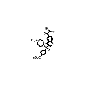 CCCCOc1ccc(S(=O)(=O)c2cnc3ccc(C(=O)N(CC)CC)cc3c2N2CCCN(C)CC2)cc1